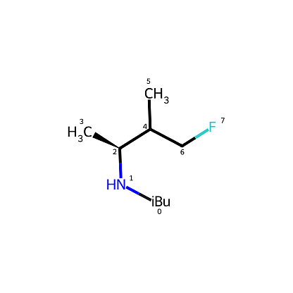 CCC(C)N[C@@H](C)C(C)CF